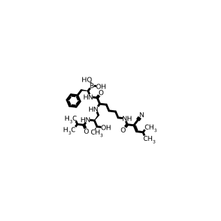 CC(C)C=C(C#N)C(=O)NCCCCC(NC[C@H](NC(=O)C(C)C)[C@@H](C)O)C(=O)N[C@@H](Cc1ccccc1)B(O)O